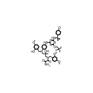 COc1ccc(CN(CC(C)(O)CN(Cc2ccc(OC)cc2OC)c2ccc(Nc3nc(NC4(c5ccc(Cl)cc5)CC4)nc(OCC(F)(F)F)n3)cc2)C(=O)C(N)=O)c(OC)c1